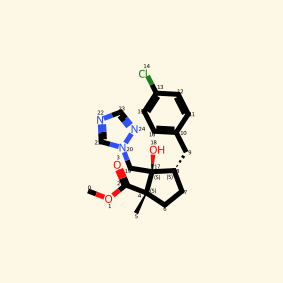 COC(=O)[C@@]1(C)CC[C@@H](Cc2ccc(Cl)cc2)[C@@]1(O)Cn1cncn1